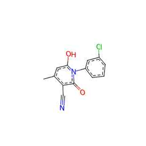 Cc1cc(O)n(-c2cccc(Cl)c2)c(=O)c1C#N